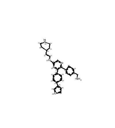 NCc1ccc(-c2ncc(OCCC3CCNCC3)nc2-c2ccc(-c3ccoc3)cc2)cc1